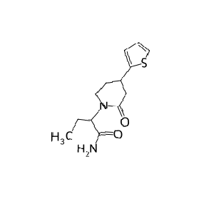 CCC(C(N)=O)N1CCC(c2cccs2)CC1=O